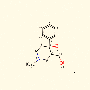 O=C(O)N1CCC(O)(c2ccccc2)C(CO)C1